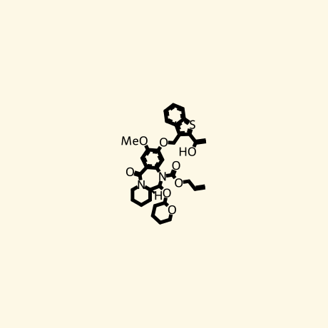 C=CCOC(=O)N1c2cc(OCc3c(C(=C)O)sc4ccccc34)c(OC)cc2C(=O)N2CCCC[C@H]2C1OC1CCCCO1